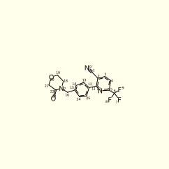 N#Cc1ccc(C(F)(F)F)nc1-c1ccc(CN2CCOCC2=O)cc1